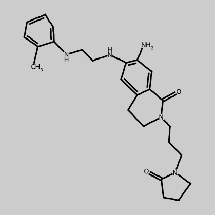 Cc1ccccc1NCCNc1cc2c(cc1N)C(=O)N(CCCN1CCCC1=O)CC2